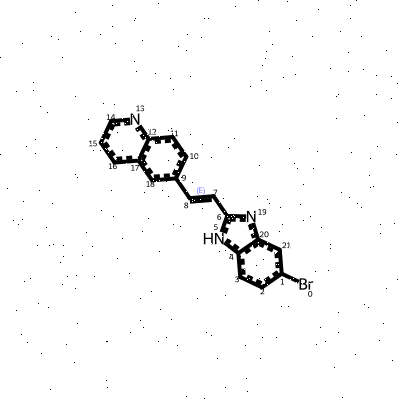 Brc1ccc2[nH]c(/C=C/c3ccc4ncccc4c3)nc2c1